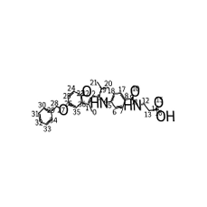 Cc1c(C(Nc2ccc(C(=O)NCCC(=O)O)cc2)C(C)C)oc2ccc(OCc3ccccc3)cc12